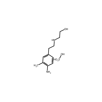 Cc1cc(CCNCCO)ccc1N.O=S(=O)(O)O